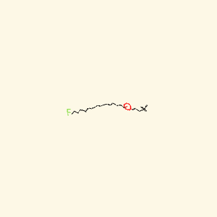 CC(C)(C)CCCOCCCCCCCCCCCCCCCF